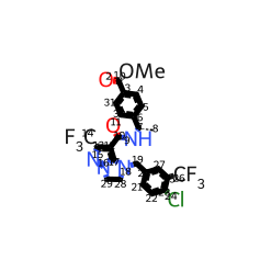 COC(=O)c1ccc([C@H](C)NC(=O)c2c(C(F)(F)F)nn3c2N(Cc2ccc(Cl)c(C(F)(F)F)c2)CC3)cc1